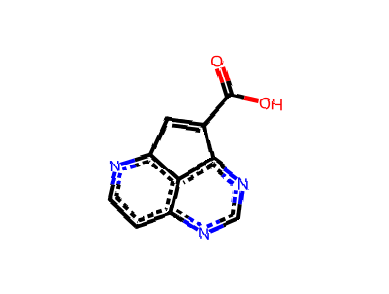 O=C(O)C1=Cc2nccc3ncnc1c23